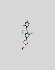 CCCC1CCC(c2cc(F)c(CCc3ccc(C)cc3C)c(F)c2)CC1